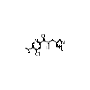 CSc1cnc(C(=O)NCc2cnn(C)c2)cc1Cl